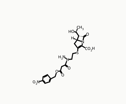 C[C@H](O)[C@@H]1C(=O)N2C(C(=O)O)=C(SCCN(N)C(=O)CC(=O)OCc3ccc([N+](=O)[O-])cc3)C[C@H]12